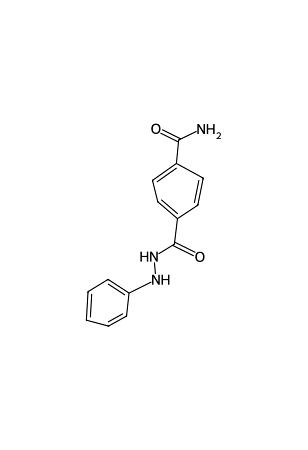 NC(=O)c1ccc(C(=O)NNc2ccccc2)cc1